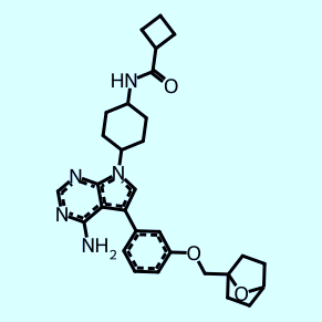 Nc1ncnc2c1c(-c1cccc(OCC34CCC(CC3)O4)c1)cn2C1CCC(NC(=O)C2CCC2)CC1